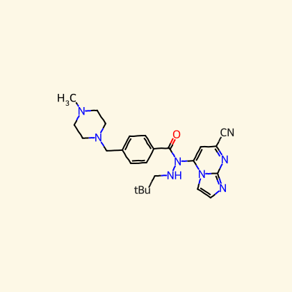 CN1CCN(Cc2ccc(C(=O)N(NCC(C)(C)C)c3cc(C#N)nc4nccn34)cc2)CC1